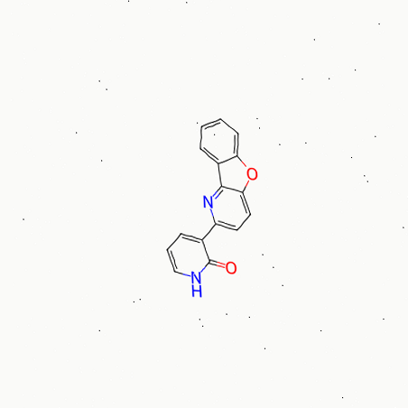 O=c1[nH]cccc1-c1ccc2oc3ccccc3c2n1